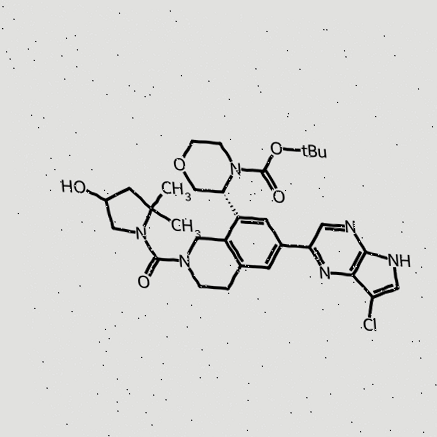 CC(C)(C)OC(=O)N1CCOC[C@H]1c1cc(-c2cnc3[nH]cc(Cl)c3n2)cc2c1CN(C(=O)N1CC(O)CC1(C)C)CC2